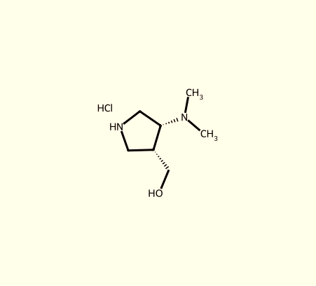 CN(C)[C@H]1CNC[C@H]1CO.Cl